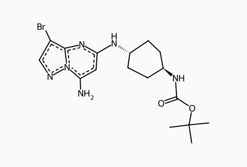 CC(C)(C)OC(=O)N[C@H]1CC[C@H](Nc2cc(N)n3ncc(Br)c3n2)CC1